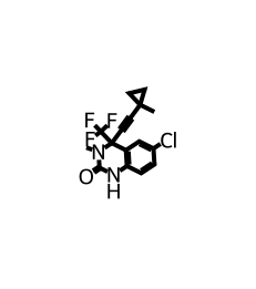 CN1C(=O)Nc2ccc(Cl)cc2C1(C#CC1(C)CC1)C(F)(F)F